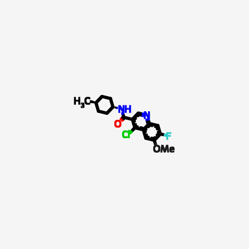 COc1cc2c(Cl)c(C(=O)N[C@H]3CC[C@H](C)CC3)cnc2cc1F